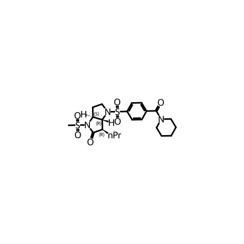 CCC[C@H]1C(=O)N(S(C)(=O)=O)[C@H]2CCN(S(=O)(=O)c3ccc(C(=O)N4CCCCC4)cc3)[C@H]12